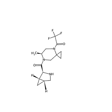 C[C@H]1CN(C(=O)C(F)(F)F)C2(CC2)CN1C(=O)[C@H]1NC[C@@H]2C[C@@H]21